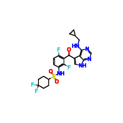 O=C(c1c(F)ccc(NS(=O)(=O)C2CCC(F)(F)CC2)c1F)c1c[nH]c2ncnc(NCC3CC3)c12